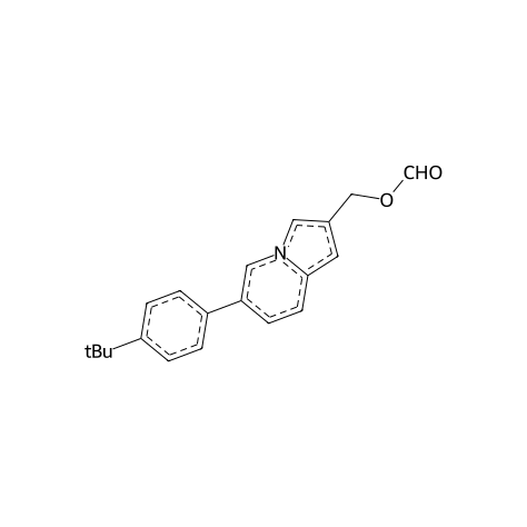 CC(C)(C)c1ccc(-c2ccc3cc(COC=O)cn3c2)cc1